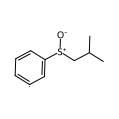 CC(C)C[S+]([O-])c1c[c]ccc1